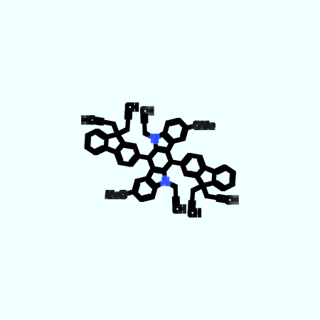 C#CCn1c2c(c3cc(OC)ccc31)C(c1ccc3c(c1)C(CC#C)(CC#C)c1ccccc1-3)c1c(c3cc(OC)ccc3n1CC#C)C2c1ccc2c(c1)C(CC#C)(CC#C)c1ccccc1-2